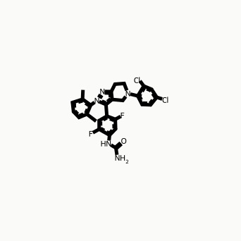 Cc1cccc(C)c1-n1nc2c(c1-c1cc(F)c(NC(N)=O)cc1F)CN(c1ccc(Cl)cc1Cl)CC2